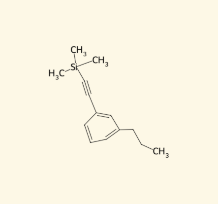 CCCc1cccc(C#C[Si](C)(C)C)c1